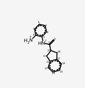 C=C(Nc1ccccc1N)C1Cc2ccccc2C1